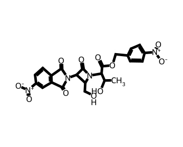 CC(O)C(C(=O)OCc1ccc([N+](=O)[O-])cc1)N1C(=O)C(N2C(=O)c3ccc([N+](=O)[O-])cc3C2=O)C1CO